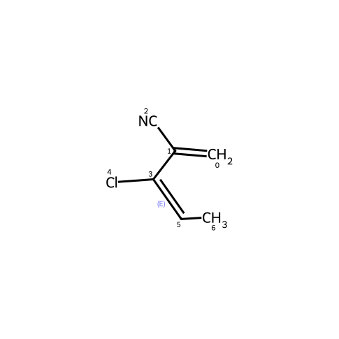 C=C(C#N)/C(Cl)=C\C